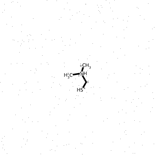 C[SiH](C)CS